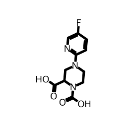 O=C(O)C1CN(c2ccc(F)cn2)CCN1C(=O)O